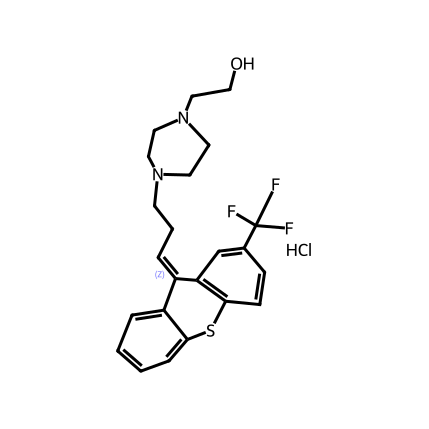 Cl.OCCN1CCN(CC/C=C2/c3ccccc3Sc3ccc(C(F)(F)F)cc32)CC1